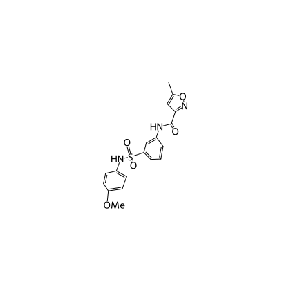 COc1ccc(NS(=O)(=O)c2cccc(NC(=O)c3cc(C)on3)c2)cc1